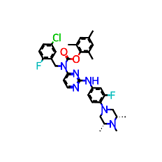 Cc1cc(C)c(OC(=O)N(Cc2cc(Cl)ccc2F)c2ccnc(Nc3ccc(N4C[C@@H](C)N(C)[C@@H](C)C4)c(F)c3)n2)c(C)c1